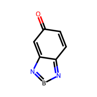 O=C1C=CC2=NB=NC2=C1